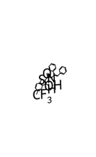 O=C(NC(=Cc1ccccc1)c1ccccc1)c1sc2ccc(C(F)(F)F)cc2c1O